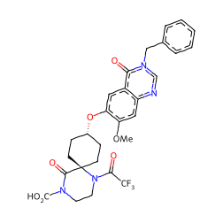 COc1cc2ncn(Cc3ccccc3)c(=O)c2cc1O[C@H]1CC[C@]2(CC1)C(=O)N(C(=O)O)CCN2C(=O)C(F)(F)F